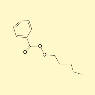 CCCCCOOC(=O)c1ccccc1C